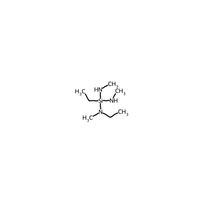 CCN(C)[Si](CC)(NC)NC